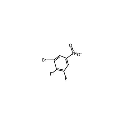 O=[N+]([O-])c1cc(F)c(F)c(Br)c1